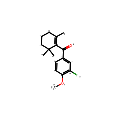 CC1=C(C(=O)c2ccc(OC(F)(F)F)c(F)c2)C(C)(C)CCC1